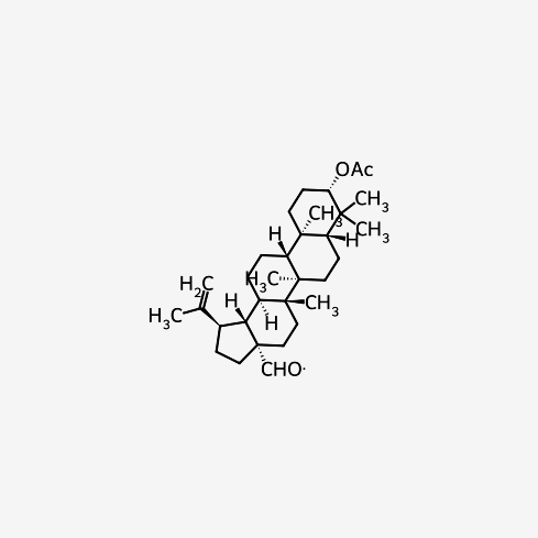 C=C(C)[C@@H]1CC[C@]2([C]=O)CC[C@]3(C)[C@H](CC[C@@H]4[C@@]5(C)CC[C@H](OC(C)=O)C(C)(C)[C@@H]5CC[C@]43C)[C@@H]12